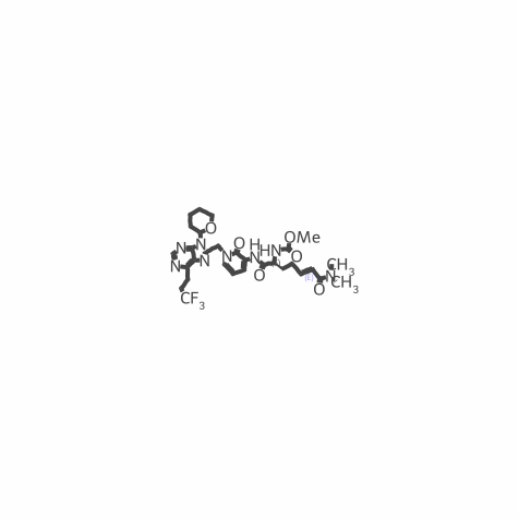 COC(=O)N[C@@H](CC/C=C/C(=O)N(C)C)C(=O)Nc1cccn(Cc2nc3c(CCC(F)(F)F)ncnc3n2C2CCCCO2)c1=O